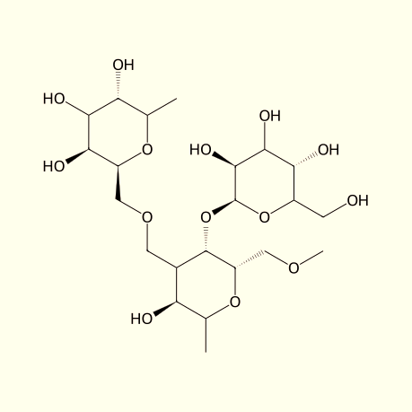 COC[C@@H]1OC(C)[C@@H](O)C(COC[C@@H]2OC(C)[C@@H](O)C(O)[C@@H]2O)[C@@H]1O[C@@H]1OC(CO)[C@@H](O)C(O)[C@@H]1O